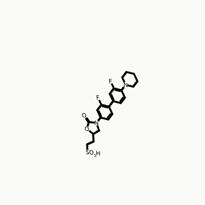 O=C1OC(CCS(=O)(=O)O)CN1c1ccc(-c2ccc(N3CCCCC3)c(F)c2)c(F)c1